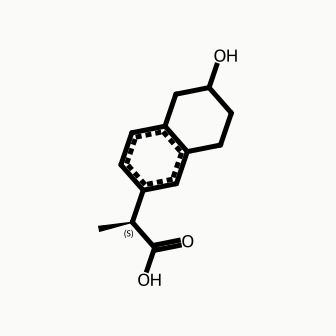 C[C@H](C(=O)O)c1ccc2c(c1)CCC(O)C2